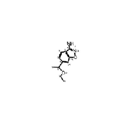 CCOC(C)c1ccc2c(N)noc2c1